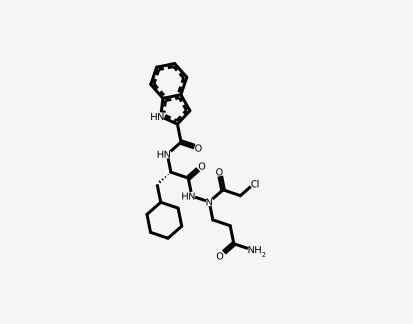 NC(=O)CCN(NC(=O)[C@H](CC1CCCCC1)NC(=O)c1cc2ccccc2[nH]1)C(=O)CCl